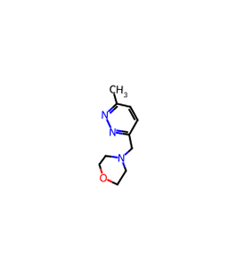 Cc1ccc(CN2CCOCC2)nn1